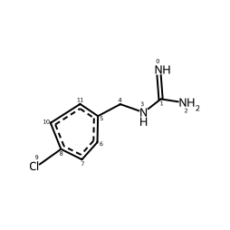 N=C(N)NCc1ccc(Cl)cc1